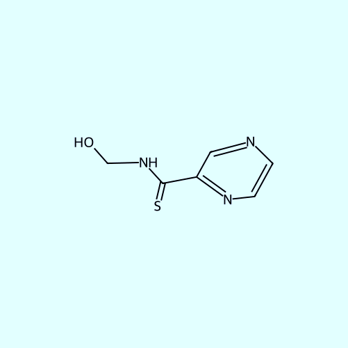 OCNC(=S)c1cnccn1